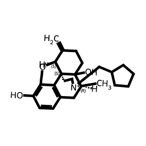 C=C1CCC2(O)[C@H]3Cc4ccc(O)c5c4[C@@]2(CC[N+]3(C)CC2CCCC2)[C@H]1O5